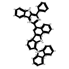 c1ccc(-c2nc(-c3cc4c5cccc(-n6c7ccccc7c7ccccc76)c5oc4c4ccccc34)nc3c2oc2ccccc23)cc1